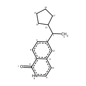 CC(c1ccc2c(=O)[nH]ccc2c1)C1CCCC1